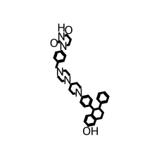 O=C1CCN(c2ccc(CN3CCN(C4CCN(c5ccc(C6c7ccc(O)cc7CCC6c6ccccc6)cc5)CC4)CC3)cc2)C(=O)N1